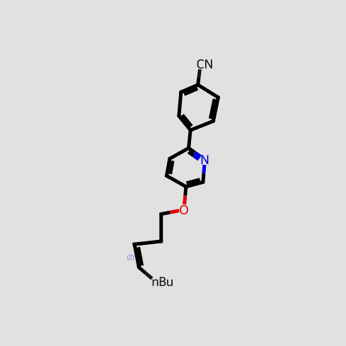 CCCC/C=C\CCOc1ccc(-c2ccc(C#N)cc2)nc1